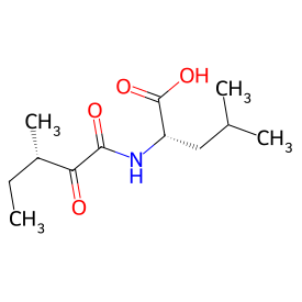 CC[C@H](C)C(=O)C(=O)N[C@@H](CC(C)C)C(=O)O